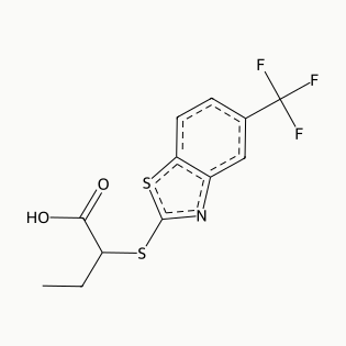 CCC(Sc1nc2cc(C(F)(F)F)ccc2s1)C(=O)O